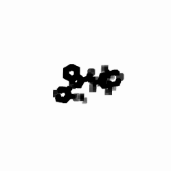 Cc1ccncc1-n1cc(C(=O)NC2C[C@H]3COC[C@@H](C2)N3C)c2ccccc21